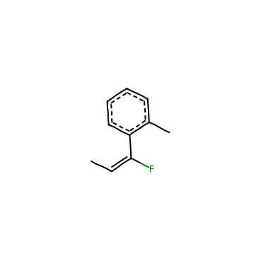 C/C=C(/F)c1ccccc1C